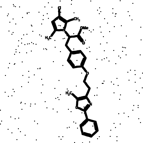 COC(=O)C(Cc1ccc(OCCc2nc(-c3ccccc3)oc2C)cc1)n1c(C)cc(Cl)c1C